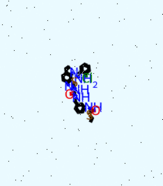 C=CC1=C(/N=C(\N)c2ccccc2Cl)c2sc(NC(=O)NCc3cccc(NC(=O)SCC)c3)nc2CC1